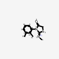 C/N=C1\SCC(=O)N1c1cccc(C)c1C